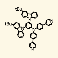 CC(C)(C)c1ccc2c(c1)c1ccccc1n2-c1cc(N(c2ccc(-c3ccncc3)cc2)c2ccc(-c3ccncc3)cc2)cc(-n2c3ccccc3c3cc(C(C)(C)C)ccc32)c1